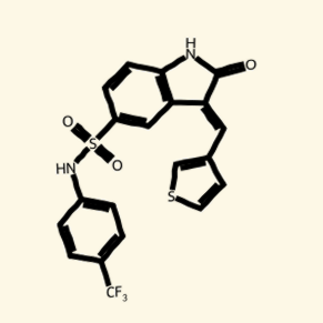 O=C1Nc2ccc(S(=O)(=O)Nc3ccc(C(F)(F)F)cc3)cc2C1=Cc1ccsc1